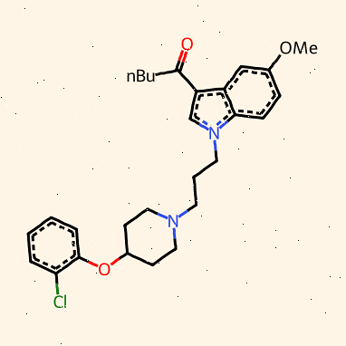 CCCCC(=O)c1cn(CCCN2CCC(Oc3ccccc3Cl)CC2)c2ccc(OC)cc12